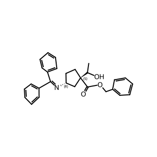 CC(O)[C@]1(C(=O)OCc2ccccc2)CC[C@@H](N=C(c2ccccc2)c2ccccc2)C1